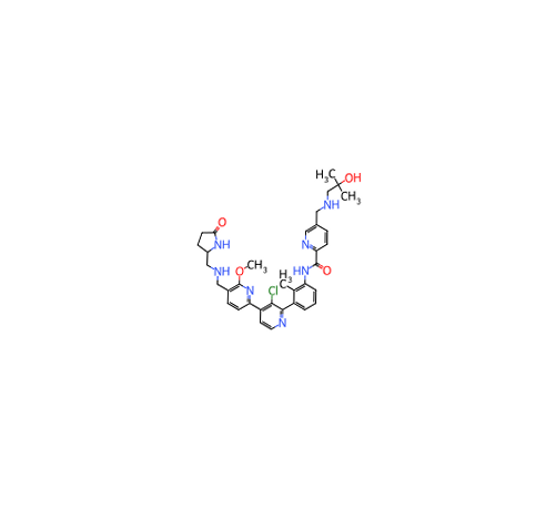 COc1nc(-c2ccnc(-c3cccc(NC(=O)c4ccc(CNCC(C)(C)O)cn4)c3C)c2Cl)ccc1CNCC1CCC(=O)N1